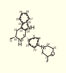 CC1CN(c2ccc([C@@H]3N[C@@H](C)Cc4c3[nH]c3ccccc43)cc2)CCO1